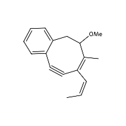 C/C=C\C1=C(/C)C(OC)Cc2ccccc2C#C1